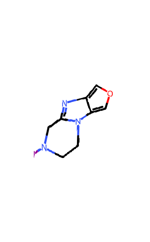 IN1CCn2c(nc3cocc32)C1